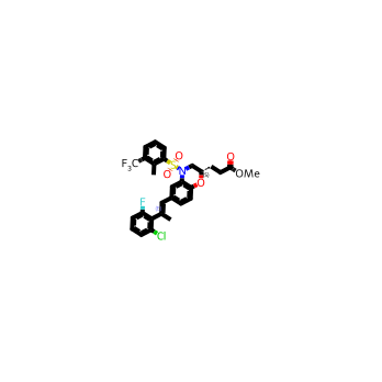 COC(=O)CC[C@H]1CN(S(=O)(=O)c2cccc(C(F)(F)F)c2C)c2cc(/C=C(\C)c3c(F)cccc3Cl)ccc2O1